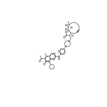 CC(=O)c1c(C)c2cnc(Nc3ccc(N4CCN(CC5C(=O)O[C@@H]6[C@H]7O[C@]7(C)CCCCC#CC[C@@H]56)CC4)cn3)nc2n(C2CCCC2)c1=O